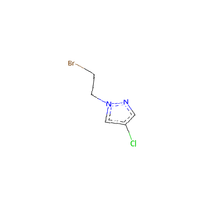 Clc1cnn(CCBr)c1